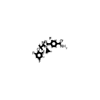 CC(C)(Oc1c(F)cc(F)cc1F)c1nnc(-c2ccc(C(N)=O)cc2F)n1C1CC1